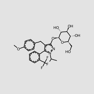 COc1ccc(Cc2c(O[C@@H]3O[C@H](CO)[C@@H](O)[C@H](O)[C@H]3O)nn(C(C)C)c2-c2ccccc2C(F)(F)F)cc1